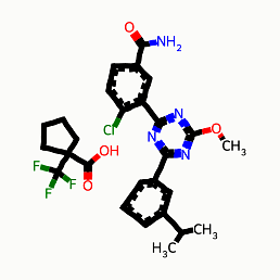 COc1nc(-c2cccc(C(C)C)c2)nc(-c2cc(C(N)=O)ccc2Cl)n1.O=C(O)C1(C(F)(F)F)CCCC1